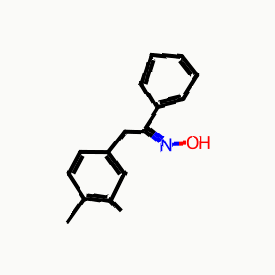 Cc1ccc(CC(=NO)c2ccccc2)cc1C